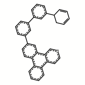 C1=CCC(c2cccc(-c3cccc(-c4ccc5c6ccccc6c6ccncc6c5c4)c3)c2)C=C1